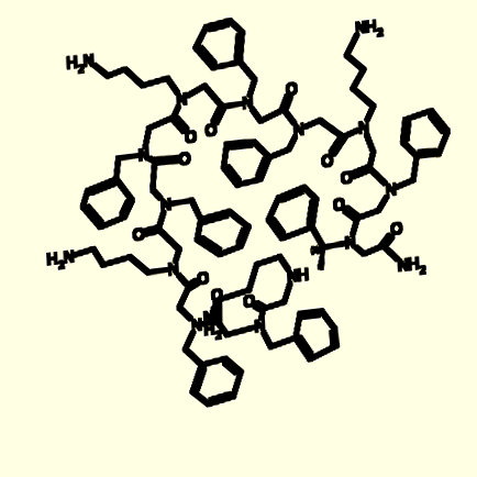 C[C@@H](c1ccccc1)N(CC(N)=O)C(=O)CN(Cc1ccccc1)C(=O)CN(CCCCN)C(=O)CN(Cc1ccccc1)C(=O)CN(Cc1ccccc1)C(=O)CN(CCCCN)C(=O)CN(Cc1ccccc1)C(=O)CN(Cc1ccccc1)C(=O)CN(CCCCN)C(=O)CN(Cc1ccccc1)C(=O)CN(Cc1ccccc1)C(=O)CNCCCCN